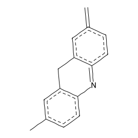 C=c1ccc2c(c1)Cc1cc(C)ccc1N=2